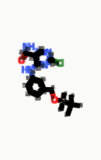 CC(C)(C)[Si](C)(C)OCc1cccc(Nc2nc(Cl)ncc2C(N)=O)c1